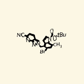 Cc1cc(Br)c(Cn2cc3ccc(C#N)nc3n2)c2ccn(C(=O)OC(C)(C)C)c12